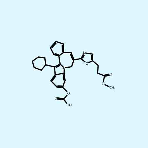 COC(=O)CCc1cnc(C2=Cc3ccccc3-c3c(C4CCCCC4)c4ccc(OC(=O)O)cc4n3C2)o1